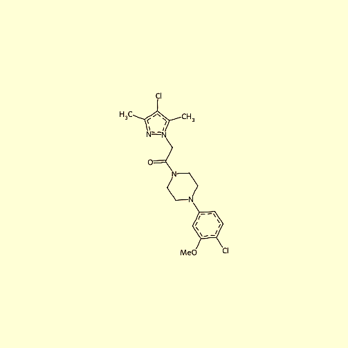 COc1cc(N2CCN(C(=O)Cn3nc(C)c(Cl)c3C)CC2)ccc1Cl